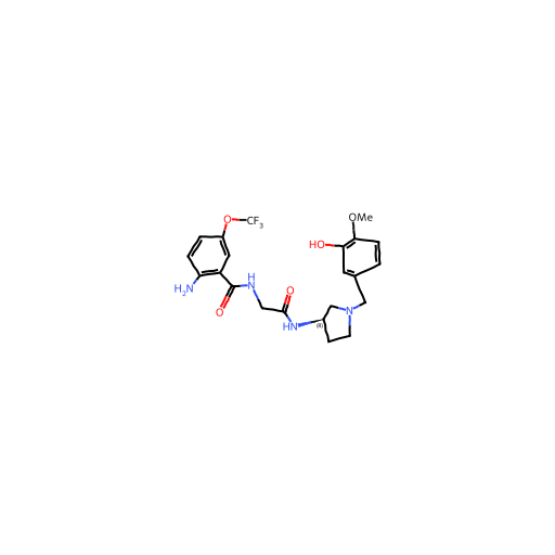 COc1ccc(CN2CC[C@@H](NC(=O)CNC(=O)c3cc(OC(F)(F)F)ccc3N)C2)cc1O